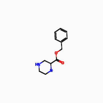 O=C(OCc1ccccc1)C1CNCC[N]1